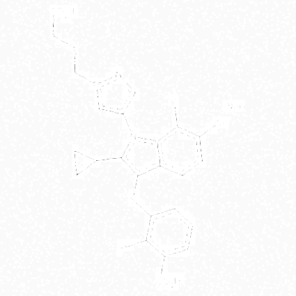 O=C(O)CCCn1cc(-n2c(C3CC3)c(Sc3cccc(C(=O)O)c3F)c3ccc(Cl)c(F)c32)cn1.[NaH]